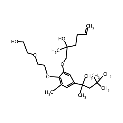 C=CCCC(C)(O)COc1cc(C(C)(C)CC(C)(C)C)cc(C)c1OCCOCCO